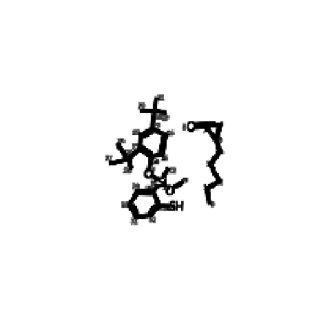 CCCCCC1CC1=O.CO[Si](C)(Oc1ccc(C(C)(C)C)cc1C(C)(C)C)c1ccccc1S